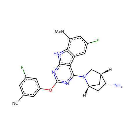 CNc1cc(F)cc2c1[nH]c1nc(Oc3cc(F)cc(C#N)c3)nc(N3C[C@H]4C[C@@H]3C[C@H]4N)c12